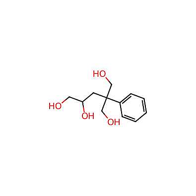 OCC(O)CC(CO)(CO)c1ccccc1